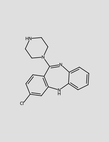 Clc1ccc2c(c1)Nc1ccccc1N=C2N1CCNCC1